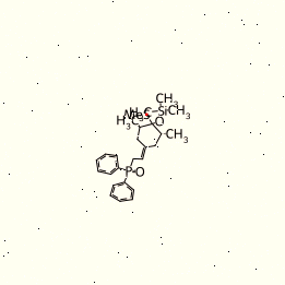 CSC1(O[Si](C)(C)C)[C@H](C)CC(=CCP(=O)(c2ccccc2)c2ccccc2)C[C@H]1C